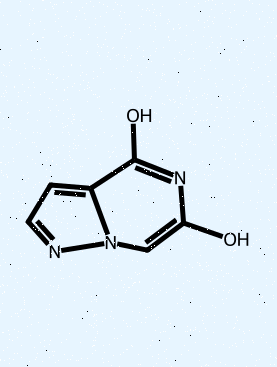 Oc1cn2nccc2c(O)n1